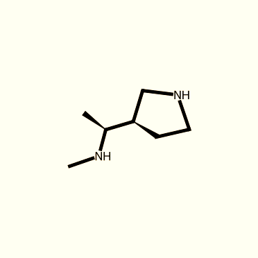 CN[C@@H](C)[C@@H]1CCNC1